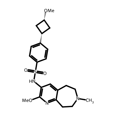 COc1nc2c(cc1NS(=O)(=O)c1ccc([C@H]3C[C@@H](OC)C3)cc1)CCN(C)CC2